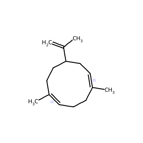 C=C(C)C1C/C=C(/C)CC/C=C(/C)CC1